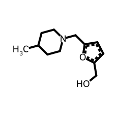 CC1CCN(Cc2ccc(CO)o2)CC1